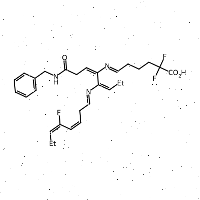 CC/C=C(F)\C=C/C/C=N/C(=C/CC)C(=C\CC(=O)NCc1ccccc1)/N=C/CCCC(F)(F)C(=O)O